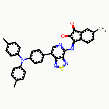 Cc1ccc(N(c2ccc(C)cc2)c2ccc(-c3cnc(/N=c4\c(=O)c(=O)c5cc(C(F)(F)F)ccc45)c4nsnc34)cc2)cc1